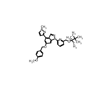 COc1ccc(COc2cc(-c3ccn(C)n3)c3cnn(-c4cccc(CO[Si](C)(C)C(C)(C)C)n4)c3c2)cc1